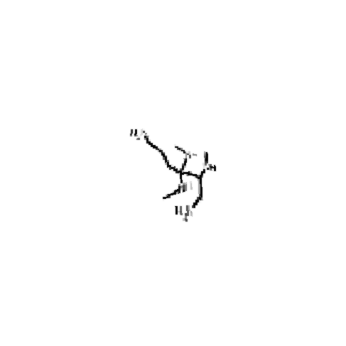 CNC(CN)C(CCCN)(NC)NC